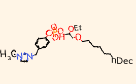 CCCCCCCCCCCCCCCCOCC(COP(=O)(O)Oc1ccc(Cn2cc[n+](C)c2)cc1)OCC